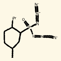 CC1CCC(C(C)C)C(P(=O)(N=[N+]=[N-])N=[N+]=[N-])C1